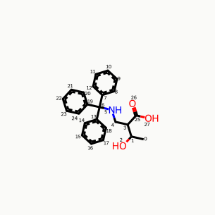 CC(O)C(CNC(c1ccccc1)(c1ccccc1)c1ccccc1)C(=O)O